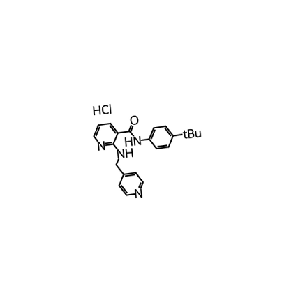 CC(C)(C)c1ccc(NC(=O)c2cccnc2NCc2ccncc2)cc1.Cl